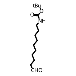 CC(C)(C)OC(=O)NCCCCCCCCC[C]=O